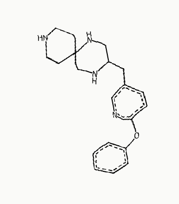 c1ccc(Oc2ccc(CC3CNC4(CCNCC4)CN3)cn2)cc1